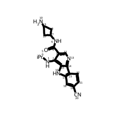 CC(C)Nc1c(C(=O)NC2CC(N)C2)cnc2c1[nH]c1cc(C#N)ccc12